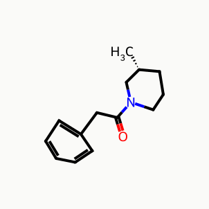 C[C@@H]1CCCN(C(=O)Cc2ccccc2)C1